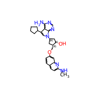 CNc1ccc2ccc(OC[C@H]3C[C@@H](n4cc(C5CCCC5)c5c(N)ncnc54)C[C@@H]3O)cc2n1